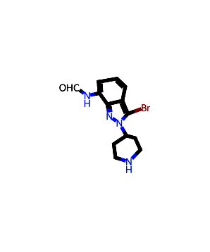 O=CNc1cccc2c(Br)n(C3CCNCC3)nc12